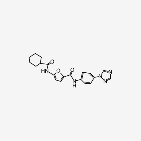 O=C(Nc1ccc(-n2cncn2)cc1)c1ccc(NC(=O)C2CCCCC2)o1